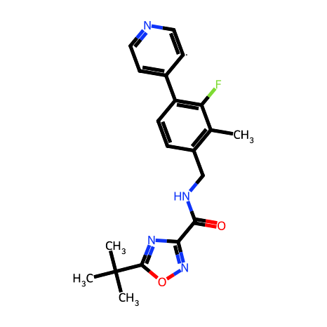 Cc1c(CNC(=O)c2noc(C(C)(C)C)n2)ccc(-c2[c]cncc2)c1F